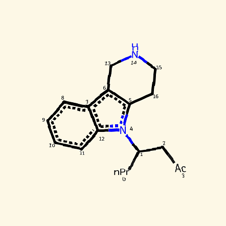 CCCC(CC(C)=O)n1c2c(c3ccccc31)CNCC2